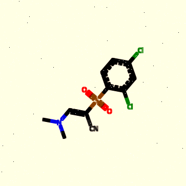 CN(C)C=C(C#N)S(=O)(=O)c1ccc(Cl)cc1Cl